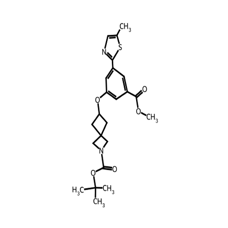 COC(=O)c1cc(OC2CC3(C2)CN(C(=O)OC(C)(C)C)C3)cc(-c2ncc(C)s2)c1